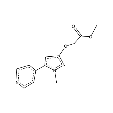 COC(=O)COc1cc(-c2ccncc2)n(C)n1